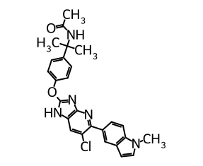 CC(=O)NC(C)(C)c1ccc(Oc2nc3nc(-c4ccc5c(ccn5C)c4)c(Cl)cc3[nH]2)cc1